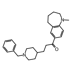 CN1CCCCc2cc(C(=O)CCC3CCN(Cc4ccccc4)CC3)ccc21